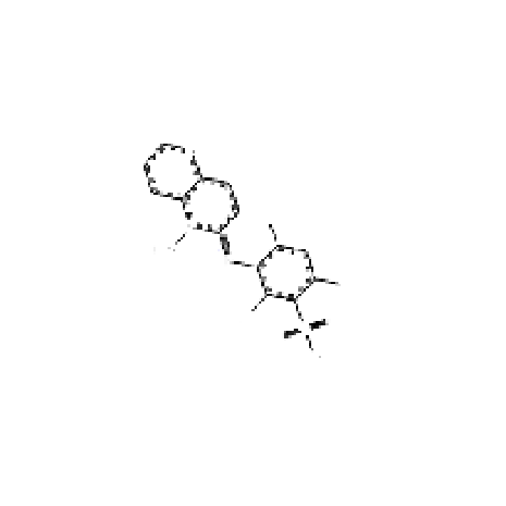 Cc1cc(C)c(S(=O)(=O)O)c(C)c1/N=c1\ccc2ncccc2n1N